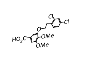 COc1cc(C(=O)O)cc(OCCc2ccc(Cl)cc2Cl)c1OC